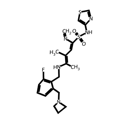 C=N/C(=C\C(C)=C(/C)NCc1c(F)cccc1CN1CCC1)S(=O)(=O)Nc1cscn1